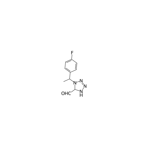 CC(c1ccc(F)cc1)N1N=NNC1C=O